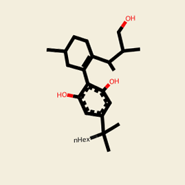 CCCCCCC(C)(C)c1cc(O)c(C2=C(C(C)C(C)CO)CCC(C)C2)c(O)c1